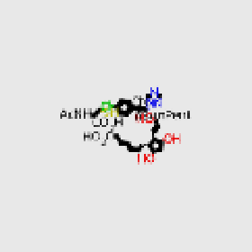 CC(=O)N[C@@H](CS)C(=O)O.CCCCC(C#N)(Cn1cncn1)c1ccc(Cl)cc1.CCCCC[C@H](O)/C=C/[C@@H]1[C@@H](C/C=C\CCCC(=O)O)[C@@H](O)C[C@H]1O